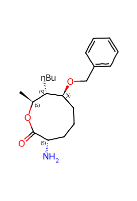 CCCC[C@H]1[C@H](C)OC(=O)[C@@H](N)CCC[C@@H]1OCc1ccccc1